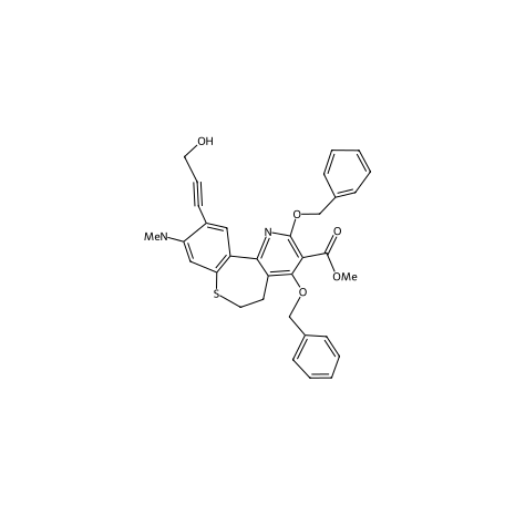 CNc1cc2c(cc1C#CCO)-c1nc(OCc3ccccc3)c(C(=O)OC)c(OCc3ccccc3)c1CCS2